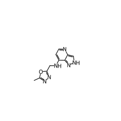 Cc1nnc(CNc2ccnc3c[nH]nc23)o1